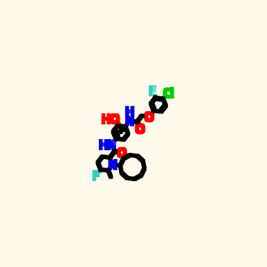 CC1C(F)CCC(C(=O)NC23CCC(NC(=O)COc4ccc(Cl)c(F)c4)(CC2)C(O)C3)N1C1CCCCCCCCC1